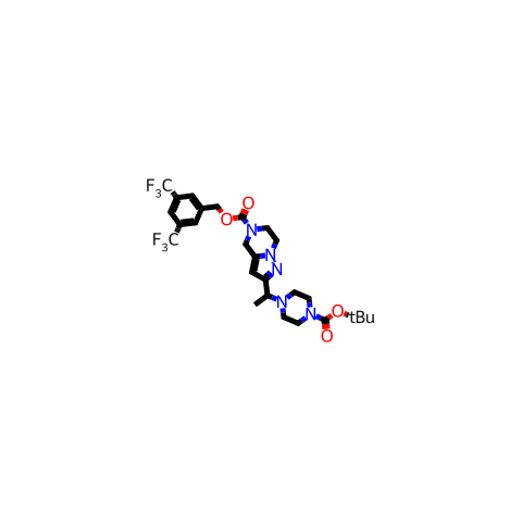 CC(c1cc2n(n1)CCN(C(=O)OCc1cc(C(F)(F)F)cc(C(F)(F)F)c1)C2)N1CCN(C(=O)OC(C)(C)C)CC1